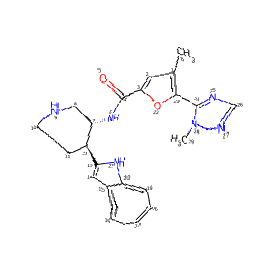 Cc1cc(C(=O)N[C@H]2CNCC[C@@H]2c2cc3ccccc3[nH]2)oc1-c1ncnn1C